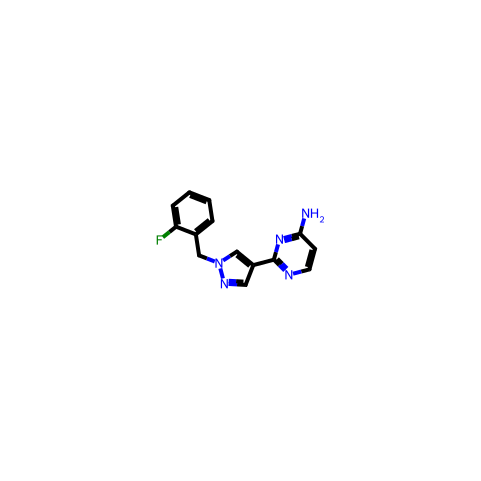 Nc1ccnc(-c2cnn(Cc3ccccc3F)c2)n1